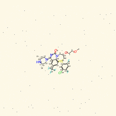 COCCO[C@H]1Cn2c(=O)nc(N3C[C@@H](C)N[C@@H](C)C3)c3cc(C(F)(F)F)cc(c32)[SH](c2cc(Cl)c(F)cc2F)C1